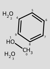 CO.O.O.c1ccccc1